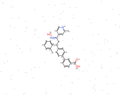 Cc1cc(/C(CC(c2ccc(-c3cccc(C(=O)O)c3)cc2)c2ccccc2C)=N\O)ccn1